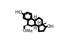 COC[C@@H]1C[C@@H]2[C@H](CC[C@]3(C)C(O)CC[C@@H]23)c2ccc(O)cc21